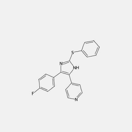 Fc1ccc(-c2nc(Sc3ccccc3)[nH]c2-c2ccncc2)cc1